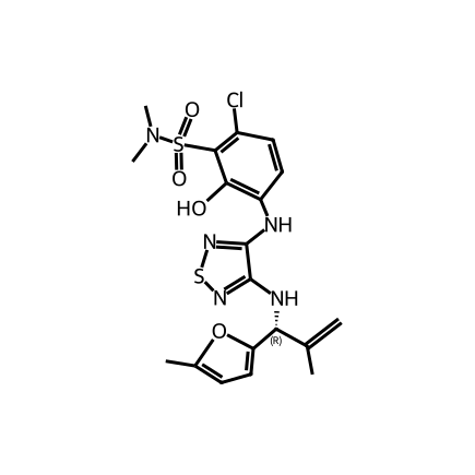 C=C(C)[C@@H](Nc1nsnc1Nc1ccc(Cl)c(S(=O)(=O)N(C)C)c1O)c1ccc(C)o1